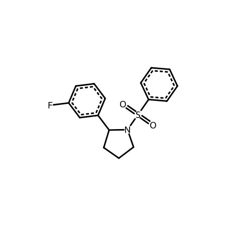 O=S(=O)(c1ccccc1)N1CCCC1c1cccc(F)c1